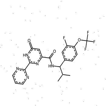 CC(C)C(NC(=O)c1cc(=O)[nH]c(-c2ncccn2)n1)c1ccc(OC(F)(F)F)c(F)c1